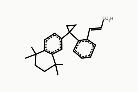 CC1(C)CCC(C)(C)c2cc(C3(c4ccccc4/C=C/C(=O)O)CC3)ccc21